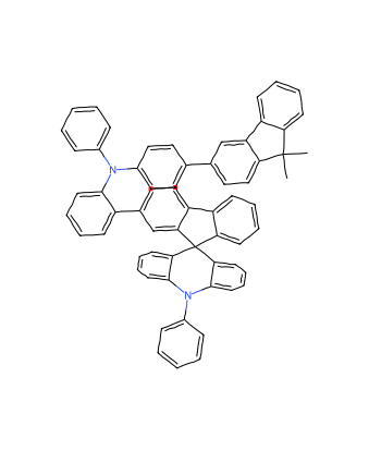 CC1(C)c2ccccc2-c2cc(-c3ccc(N(c4ccccc4)c4ccccc4-c4ccc5c(c4)C4(c6ccccc6-5)c5ccccc5N(c5ccccc5)c5ccccc54)cc3)ccc21